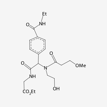 CCNC(=O)c1ccc(C(C(=O)NCC(=O)OCC)N(CCO)C(=O)CCOC)cc1